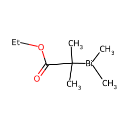 CCOC(=O)[C](C)(C)[Bi]([CH3])[CH3]